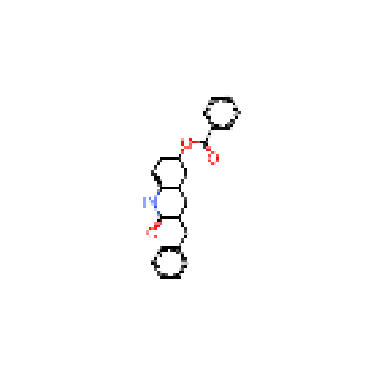 O=C(OC1CC=C2NC(=O)C(Cc3ccccc3)CC2C1)c1ccccc1